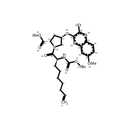 C=CCCCCC[C@H](NC(=O)OC(C)(C)C)C(=O)N1C[C@H](Oc2nc3cc(OC)ccc3nc2CC)C[C@H]1C(=O)OC